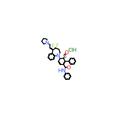 Cl.O=C=C1C(c2ccccc2)=C(C(=O)Nc2ccccc2)C=CC1N1CCC(F)(F)C(=CCN2CCCC2)c2ccccc21